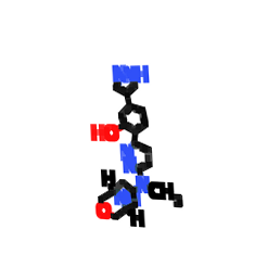 CN(c1ccc(-c2ccc(-c3cn[nH]c3)cc2O)nn1)C1C[C@H]2COC[C@@H](C1)N2